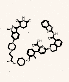 Cc1c(O[C@H]2CC[C@H](C[C@@H](C)CCN3CCN(c4ccc5c(C6CCC(=O)NC6=O)nn(C)c5c4)CC3)CC2)cccc1-c1ccc(N2CCc3cccc(C(=O)Nc4nc5ccccc5s4)c3C2)nc1C(=O)O